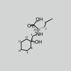 CCC[C@H](NCC1(O)CCCCC1)C(=O)O